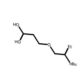 CCCCC(CC)COCCC(O)O